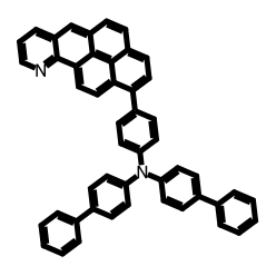 c1ccc(-c2ccc(N(c3ccc(-c4ccccc4)cc3)c3ccc(-c4ccc5ccc6cc7cccnc7c7ccc4c5c67)cc3)cc2)cc1